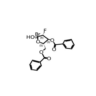 O=C(OC[C@@H]1O[C@@](O)(Br)[C@H](F)[C@H]1OC(=O)c1ccccc1)c1ccccc1